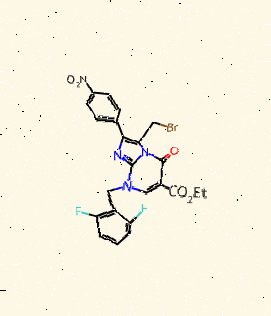 CCOC(=O)c1cn(Cc2c(F)cccc2F)c2nc(-c3ccc([N+](=O)[O-])cc3)c(CBr)n2c1=O